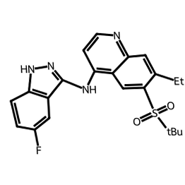 CCc1cc2nccc(Nc3n[nH]c4ccc(F)cc34)c2cc1S(=O)(=O)C(C)(C)C